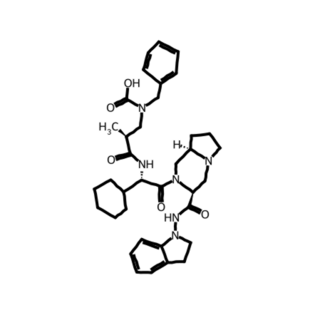 C[C@@H](CN(Cc1ccccc1)C(=O)O)C(=O)N[C@H](C(=O)N1C[C@H]2CCCN2C[C@H]1C(=O)NN1CCc2ccccc21)C1CCCCC1